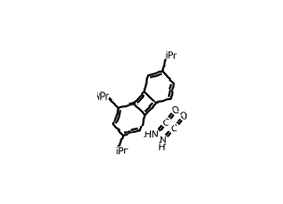 CC(C)c1ccc2c(c1)=c1c(C(C)C)cc(C(C)C)cc1=2.N=C=O.N=C=O